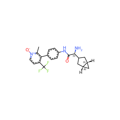 Cc1c(-c2ccc(NC(=O)[C@@H](N)C3C[C@@H]4C[C@@H]4C3)cc2)c(C(F)(F)F)cc[n+]1[O-]